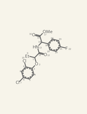 CCC(Oc1ccc(Cl)cc1Cl)C(=O)NC(C(=O)OC)c1ccc(F)cc1